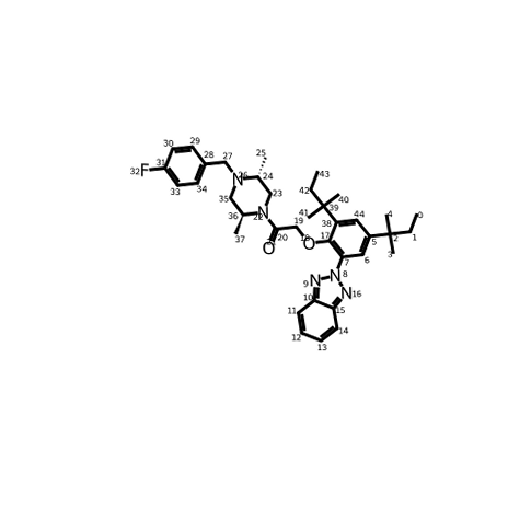 CCC(C)(C)c1cc(-n2nc3ccccc3n2)c(OCC(=O)N2C[C@@H](C)N(Cc3ccc(F)cc3)C[C@@H]2C)c(C(C)(C)CC)c1